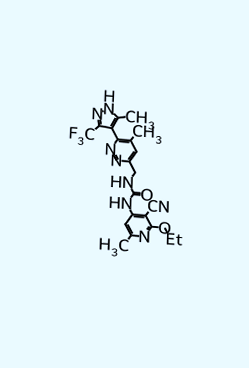 CCOc1nc(C)cc(NC(=O)NCc2cc(C)c(-c3c(C(F)(F)F)n[nH]c3C)nn2)c1C#N